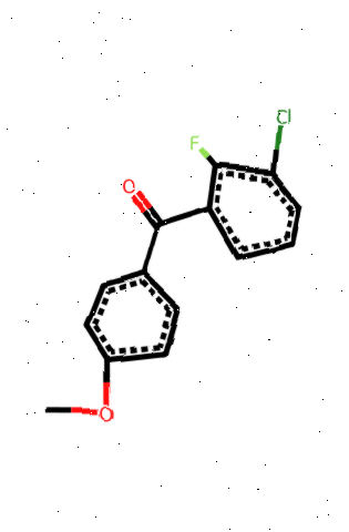 COc1ccc(C(=O)c2cccc(Cl)c2F)cc1